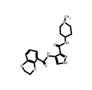 CN1CCC(NC(=O)c2n[nH]cc2NC(=O)c2cccc3c2OCCO3)CC1